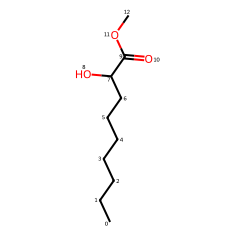 CCCCCCCC(O)C(=O)OC